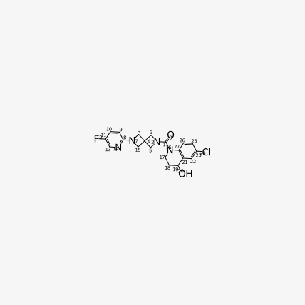 O=C(N1CC2(C1)CN(c1ccc(F)cn1)C2)N1CCC(O)c2cc(Cl)ccc21